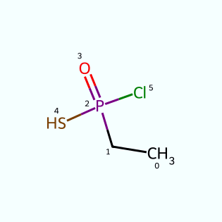 CCP(=O)(S)Cl